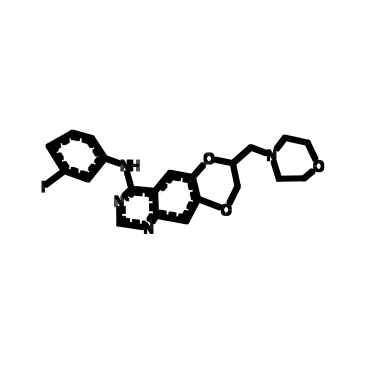 Ic1cccc(Nc2ncnc3cc4c(cc23)OC(CN2CCOCC2)CO4)c1